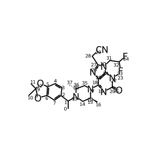 CC(c1ccc2c(c1)OC(C)(C)O2)N1C[C@H](C)N(c2nc(=O)n(C)c3c2nc(CC#N)n3CC(F)F)C[C@H]1C